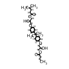 CCCC(=O)OCC(O)COc1ccc(C(C)(C)c2ccc(OCC(O)COC(=O)CCC(C)C)cc2)cc1